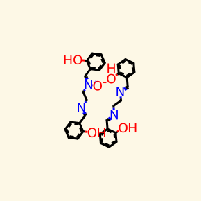 Oc1ccccc1/C=N/CC/N=C/c1ccccc1O.[O-]/[N+](=C\c1ccccc1O)CC/N=C/c1ccccc1O